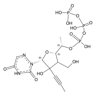 CC#CC1(O)C(CO)[C@@H]([C@H](C)OP(=O)(O)OP(=O)(O)OP(=O)(O)O)O[C@H]1n1ncc(=O)[nH]c1=O